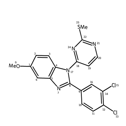 COc1ccc2c(c1)nc(-c1ccc(Cl)c(Cl)c1)n2-c1ccnc(SC)n1